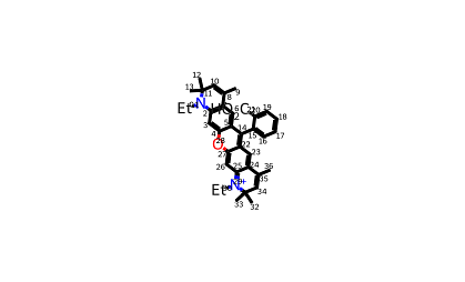 CCN1c2cc3c(cc2C(C)=CC1(C)C)C(c1ccccc1C(=O)O)=c1cc2c(cc1O3)=[N+](CC)C(C)(C)C=C2C